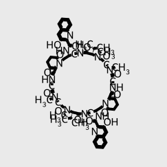 CC(C)[C@H]1C(=O)NC[C@@H](NC(=O)c2nc3ccccc3cc2O)C(=O)N2CCCC[C@H]2C(=O)NCC(=O)N(C)CC(=O)N(C)[C@@H](C(C)C)C(=O)NC[C@@H](NC(=O)c2nc3ccccc3cc2O)C(=O)N2CCCC[C@H]2C(=O)NCC(=O)N(C)CC(=O)N1C